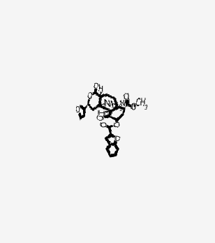 COC(=O)[C@@H]1C=C(OC(=O)c2cc3ccccc3o2)C(=O)[C@H]2[C@@]1(N)CC[C@H]1C(=O)O[C@H](c3ccoc3)C[C@]21N